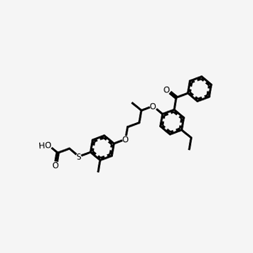 CCc1ccc(OC(C)CCOc2ccc(SCC(=O)O)c(C)c2)c(C(=O)c2ccccc2)c1